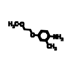 COCCOc1ccc(N)c(C)c1